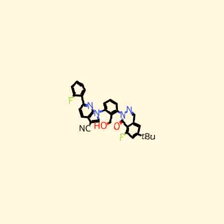 CC(C)(C)c1cc(F)c2c(=O)n(-c3cccc(-n4cc(C#N)c5ccc(-c6ccccc6F)nc54)c3CO)ncc2c1